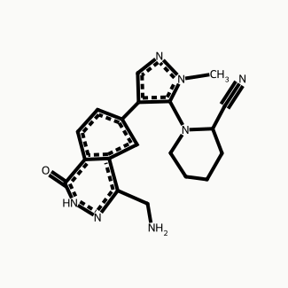 Cn1ncc(-c2ccc3c(=O)[nH]nc(CN)c3c2)c1N1CCCCC1C#N